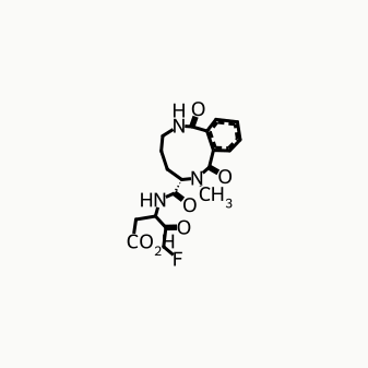 CN1C(=O)c2ccccc2C(=O)NCCC[C@H]1C(=O)NC(CC(=O)O)C(=O)CF